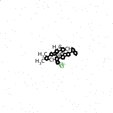 Cc1cc(C)c(-c2ccc3c(c2)Cc2c-3ccc(-c3c(C)cc(C)cc3C)[c]2[Zr+2][c]2c(-c3cccc4ccccc34)ccc3c2Cc2cc(-c4cccc5ccccc45)ccc2-3)c(C)c1.[Cl-].[Cl-]